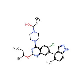 C=CC(O)N1CCN(c2nc(OC(CC)COC)nc3cc(-c4c(C)ccc5[nH]ncc45)c(Cl)cc23)CC1